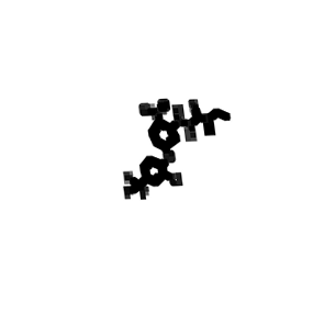 CCNC(=S)NNc1cc(Oc2ccc(C(F)(F)F)cc2Cl)ccc1[N+](=O)[O-]